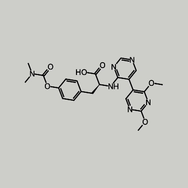 COc1ncc(-c2cncnc2N[C@@H](Cc2ccc(OC(=O)N(C)C)cc2)C(=O)O)c(OC)n1